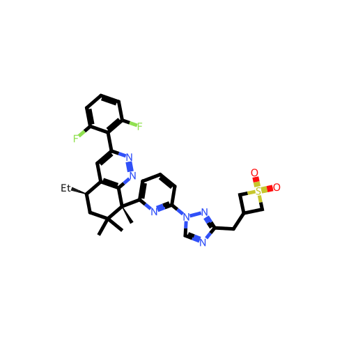 CC[C@@H]1CC(C)(C)[C@@](C)(c2cccc(-n3cnc(CC4CS(=O)(=O)C4)n3)n2)c2nnc(-c3c(F)cccc3F)cc21